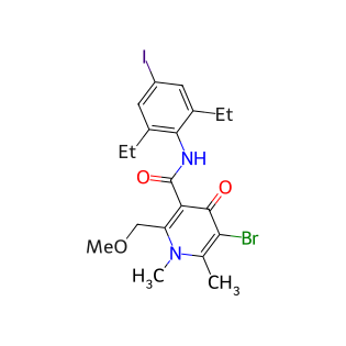 CCc1cc(I)cc(CC)c1NC(=O)c1c(COC)n(C)c(C)c(Br)c1=O